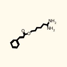 NC(N)CCCCCOC(=O)C=Cc1ccccc1